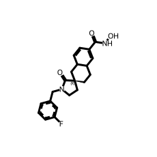 O=C(NO)C1=CC2CC[C@]3(CCN(Cc4cccc(F)c4)C3=O)CC2C=C1